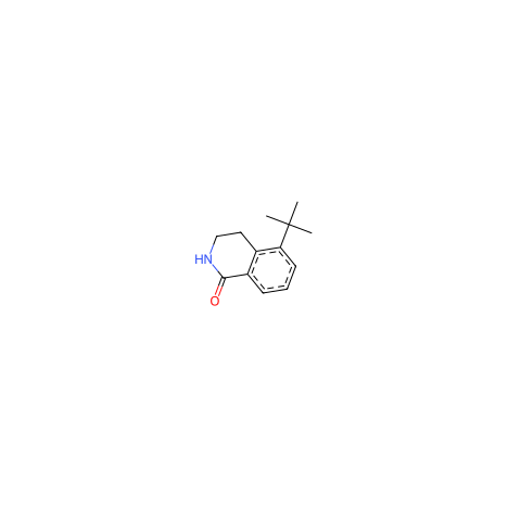 CC(C)(C)c1cccc2c1CCNC2=O